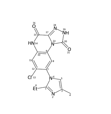 CCc1nc(C)cn1-c1cc2c(cc1Cl)[nH]c(=O)c1n[nH]c(=O)n12